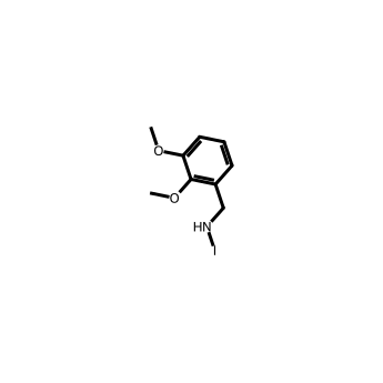 COc1cccc(CNI)c1OC